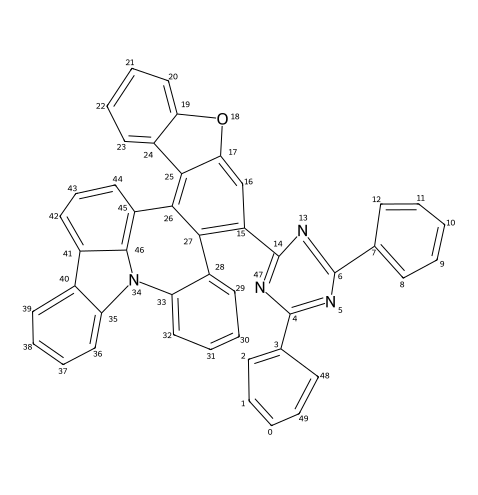 c1ccc(-c2nc(-c3ccccc3)nc(-c3cc4oc5ccccc5c4c4c3-c3ccccc3-n3c5ccccc5c5cccc-4c53)n2)cc1